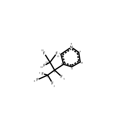 FC(F)(F)C(F)(c1[c]nccc1)C(F)(F)F